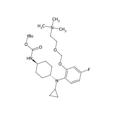 CC(C)(C)OC(=O)N[C@H]1CC[C@H](N(c2ccc(F)cc2OCOCC[Si](C)(C)C)C2CC2)CC1